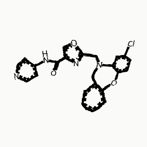 O=C(Nc1ccncc1)c1coc(CN2Cc3ccccc3Oc3ccc(Cl)cc32)n1